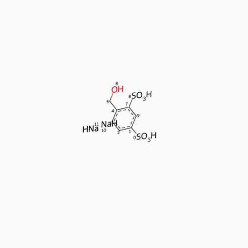 O=S(=O)(O)c1ccc(CO)c(S(=O)(=O)O)c1.[NaH].[NaH]